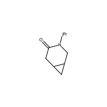 CC(C)N1CC2CC2CC1=O